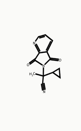 CC(C#N)(C1CC1)N1C(=O)c2cccnc2C1=O